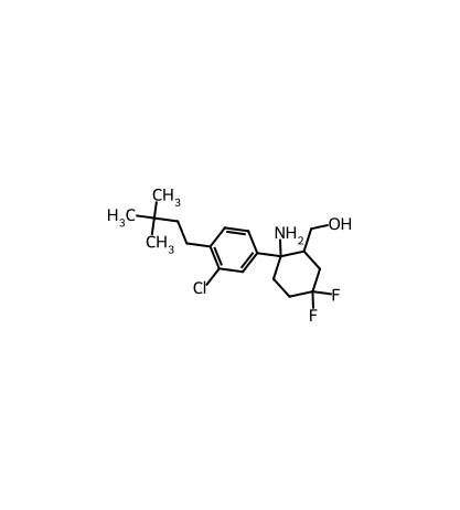 CC(C)(C)CCc1ccc(C2(N)CCC(F)(F)CC2CO)cc1Cl